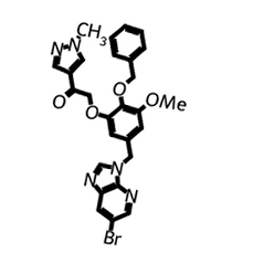 COc1cc(Cn2cnc3cc(Br)cnc32)cc(OCC(=O)c2cnn(C)c2)c1OCc1ccccc1